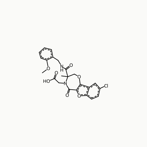 COc1ccccc1CNC(=O)C1(C)COc2c(oc3ccc(Cl)cc23)C(=O)N1CC(=O)O